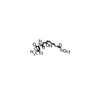 CCCCCCCC[C@H]1O[C@H]1C/C=C/C=C\[C@H](O)CC(=O)NC1=C[C@](C)(CC)OC1=O